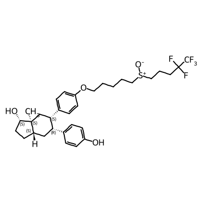 C[C@]12C[C@H](c3ccc(OCCCCC[S+]([O-])CCCC(F)(F)C(F)(F)F)cc3)[C@H](c3ccc(O)cc3)C[C@@H]1CC[C@@H]2O